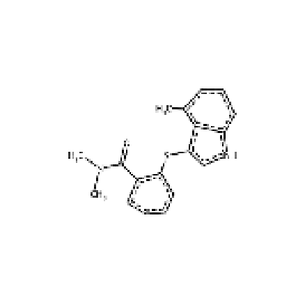 Cc1cccc2[nH]cc(Sc3ccccc3C(=O)N(C)C)c12